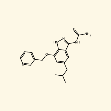 CC(C)Cc1cc(OCc2cccnc2)c2[nH]nc(NC(N)=S)c2c1